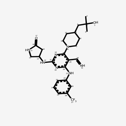 CC(C)(O)CC1CCN(c2nc(NC3CNC(=O)C3)nc(Nc3cccc(C(F)(F)F)c3)c2C=N)CC1